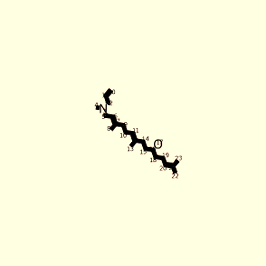 C=CCN(C)C/C=C(\C)CC/C=C(\C)CCC(=O)CCC=C(C)C